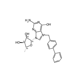 C[C@H]1O[C@@H](n2c[n+](Cc3ccc(-c4ccccc4)cc3)c3c(O)nc(N)nc32)[C@H](O)[C@@H]1O